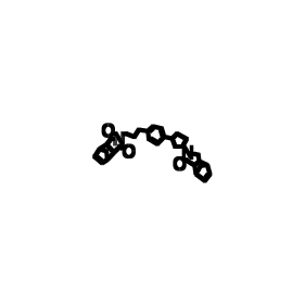 O=C1C2C3C=CC(C3)C2C(=O)N1CCCc1ccc(C2CCC(N3CC4C5C=CC(C5)C4C3=O)C2)cc1